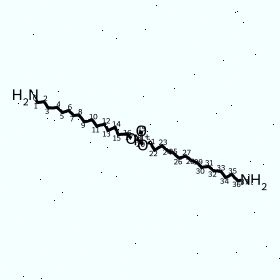 NCCCCCCCCCCCCCCCCO[N+](=O)OCCCCCCCCCCCCCCCCN